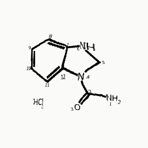 Cl.NC(=O)N1CNc2ccccc21